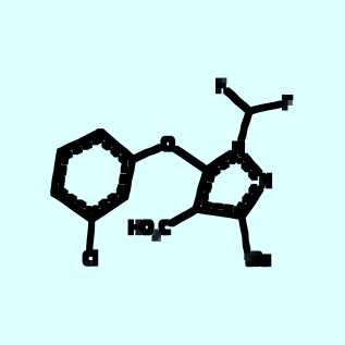 CC(C)(C)c1nn(C(F)F)c(Oc2cccc(Cl)c2)c1C(=O)O